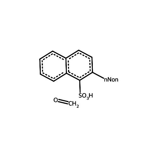 C=O.CCCCCCCCCc1ccc2ccccc2c1S(=O)(=O)O